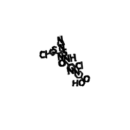 CN1CC2CC1CN2c1sc(NC(=O)c2cnc(N3CCC(C(=O)O)CC3)c(Cl)c2)nc1-c1cc(Cl)cs1